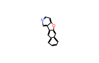 c1ccc2cc3c(cc2c1)oc1ccncc13